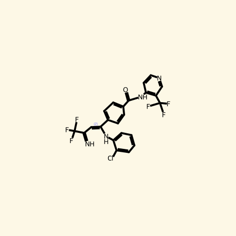 N=C(/C=C(\Nc1ccccc1Cl)c1ccc(C(=O)Nc2ccncc2C(F)(F)F)cc1)C(F)(F)F